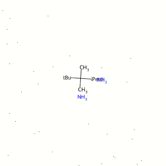 CCCC(C)C(C)(C)C(C)(C)C.N.N